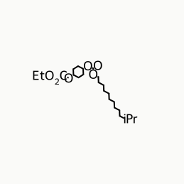 CCOC(=O)OC1CCC(OC(=O)OCCCCCCCCCCC(C)C)CC1